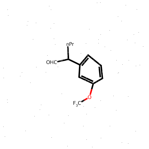 CCCC(C=O)c1cccc(OC(F)(F)F)c1